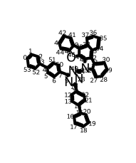 c1ccc(-c2ccc(-c3nc(-c4ccc(-c5ccccc5)cc4)nc(-n4c5ccccc5c5c6ccccc6c6c7ccccc7oc6c54)n3)cc2)cc1